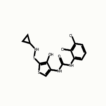 O=C(Nc1csc(SNC2CC2)c1O)Nc1cccc(Cl)c1Cl